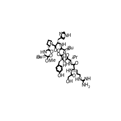 CC[C@H](C)[C@H](NC(=O)[C@H](Cc1ccc(O)cc1)NC(=O)[C@@H](NC(=O)[C@H](CCCNC(=N)N)NC(=O)CO)C(C)C)C(=O)N[C@@H](Cc1c[nH]cn1)C(=O)N1CCC[C@H]1C(=O)N[C@H](C(=O)OC)[C@@H](C)CC